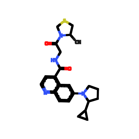 N#CC1CSCN1C(=O)CNC(=O)c1ccnc2ccc(N3CCCC3C3CC3)cc12